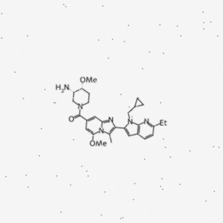 CCc1ccc2cc(-c3nc4cc(C(=O)N5CC[C@@H](OC)[C@@H](N)C5)cc(OC)n4c3C)n(CC3CC3)c2n1